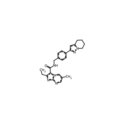 CCc1nc2ncc(C)cn2c1C(=O)NCc1ccc(-c2cc3n(n2)CCCC3)cc1